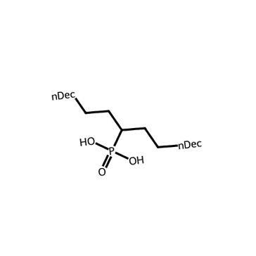 CCCCCCCCCCCCC(CCCCCCCCCCCC)P(=O)(O)O